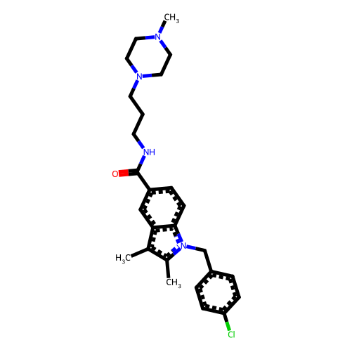 Cc1c(C)n(Cc2ccc(Cl)cc2)c2ccc(C(=O)NCCCN3CCN(C)CC3)cc12